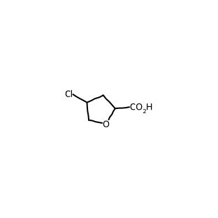 O=C(O)C1CC(Cl)CO1